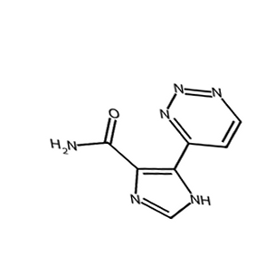 NC(=O)c1nc[nH]c1-c1ccnnn1